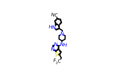 N#Cc1ccc2c(CN3CCC(Nc4ncnc5sc(CC(F)(F)F)cc45)CC3)c[nH]c2c1